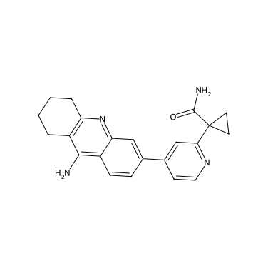 NC(=O)C1(c2cc(-c3ccc4c(N)c5c(nc4c3)CCCC5)ccn2)CC1